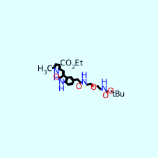 CCOC(=O)c1cc(C)[nH]c1/C=C1\C(=O)Nc2ccc(CC(=O)NCCOCCNC(=O)OC(C)(C)C)cc21